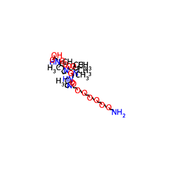 CC[C@H](C)[C@@H]([C@@H](CC(=O)N1CCC[C@H]1[C@H](OC)[C@@H](C)C(=O)NCC(=O)O)OC)N(C)C(=O)CNC(=O)[C@]1(C)CCCN1C(=O)CCOCCOCCOCCOCCOCCOCCN